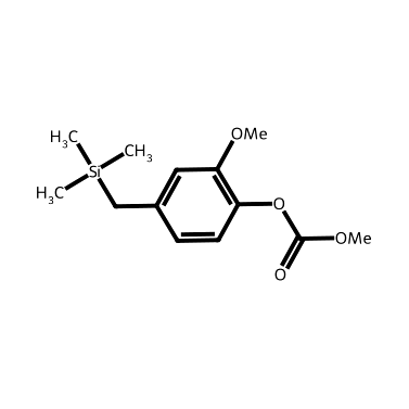 COC(=O)Oc1ccc(C[Si](C)(C)C)cc1OC